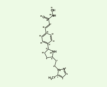 Cc1ccnn1CCC1CCC(c2ccc(/C=C/C(=O)NO)cc2)N1